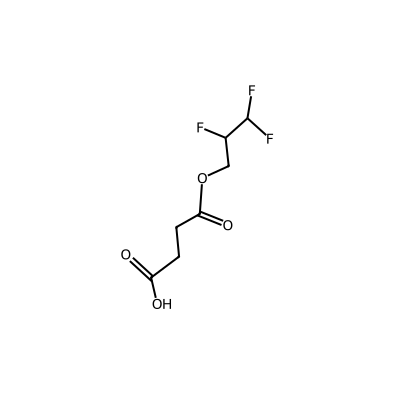 O=C(O)CCC(=O)OCC(F)C(F)F